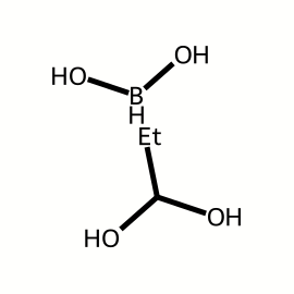 CCC(O)O.OBO